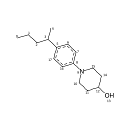 CCCC(C)c1ccc(N2CCC(O)CC2)cc1